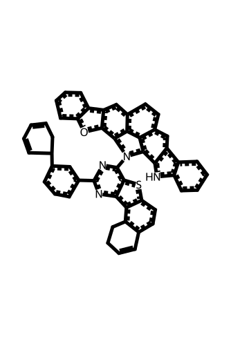 C1=CCC(c2cccc(-c3nc(-n4c5c6[nH]c7ccccc7c6cc6ccc7cc8c9ccccc9oc8c4c7c65)c4sc5ccc6c(c5c4n3)CCC=C6)c2)C=C1